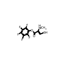 CN/C(=C\S)C(=O)Oc1c(F)c(F)c(F)c(F)c1F